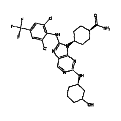 NC(=O)[C@H]1CC[C@@H](n2c(Nc3c(Cl)cc(C(F)(F)F)cc3Cl)nc3cnc(N[C@@H]4CCCC(O)C4)nc32)CC1